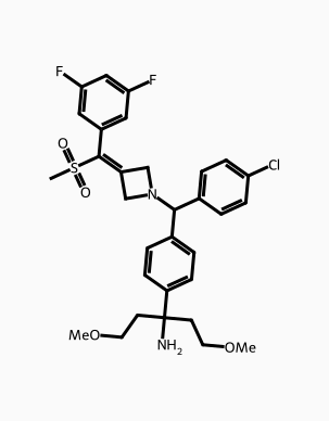 COCCC(N)(CCOC)c1ccc(C(c2ccc(Cl)cc2)N2CC(=C(c3cc(F)cc(F)c3)S(C)(=O)=O)C2)cc1